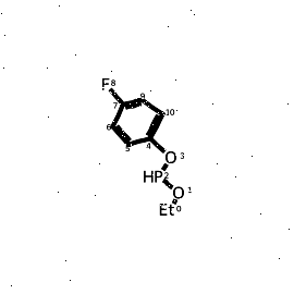 CCOPOc1ccc(F)cc1